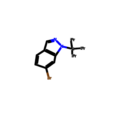 CC(C)[Si](C(C)C)(C(C)C)n1ncc2ccc(Br)cc21